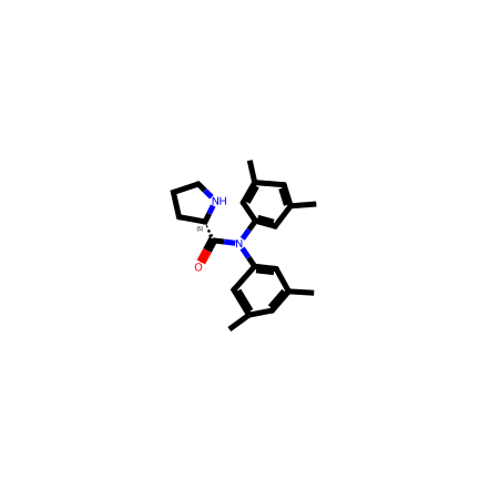 Cc1cc(C)cc(N(C(=O)[C@@H]2CCCN2)c2cc(C)cc(C)c2)c1